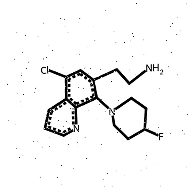 NCCc1cc(Cl)c2cccnc2c1N1CCC(F)CC1